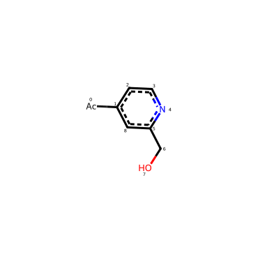 CC(=O)c1ccnc(CO)c1